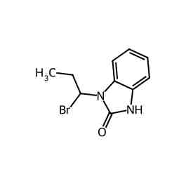 CCC(Br)n1c(=O)[nH]c2ccccc21